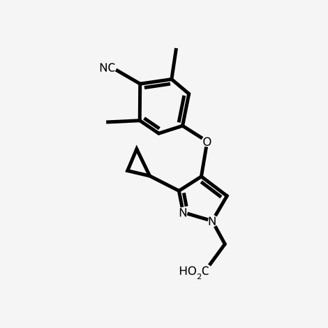 Cc1cc(Oc2cn(CC(=O)O)nc2C2CC2)cc(C)c1C#N